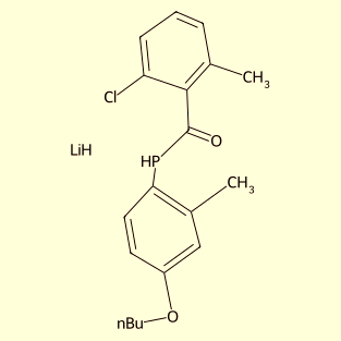 CCCCOc1ccc(PC(=O)c2c(C)cccc2Cl)c(C)c1.[LiH]